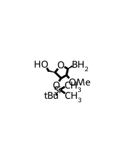 B[C@@H]1O[C@H](CO)C(O[Si](C)(C)C(C)(C)C)C1OC